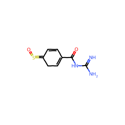 N=C(N)NC(=O)C1=CCC(=S=O)C=C1